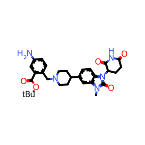 Cn1c(=O)n(C2CCC(=O)NC2=O)c2ccc(C3CCN(Cc4ccc(N)cc4C(=O)OC(C)(C)C)CC3)cc21